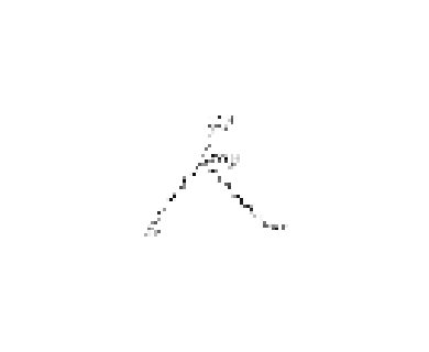 CC(C)CCCCCCCCCCCC(CCCCCCCCCCCC(C)C)(CCCCC(=O)O)C(=O)O